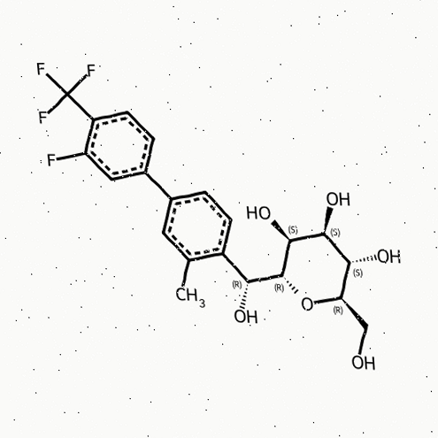 Cc1cc(-c2ccc(C(F)(F)F)c(F)c2)ccc1[C@@H](O)[C@H]1O[C@H](CO)[C@@H](O)[C@H](O)[C@@H]1O